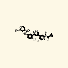 Cc1ccc(NC(=O)[C@H]2CCO[C@@H](C(C)C)C2)cc1-c1cc(-c2ccnc(NC(=O)C3CC3)c2)cnn1